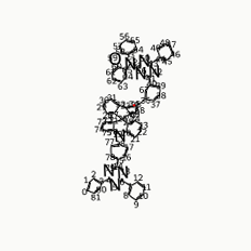 c1ccc(-c2nc(-c3ccccc3)nc(-c3ccc(N4c5ccccc5C5(c6ccccc6-c6cc(-c7cccc(-c8nc(-c9ccccc9)nc(N9c%10ccccc%10Oc%10ccccc%109)n8)c7)ccc65)c5ccccc54)cc3)n2)cc1